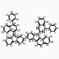 c1ccc(-c2nc(-n3c4ccc(-c5ccc6c7ccccc7n(-c7ccc(-c8ccccc8)c8ccccc78)c6c5)cc4c4ccc5ccccc5c43)nc3ccccc23)cc1